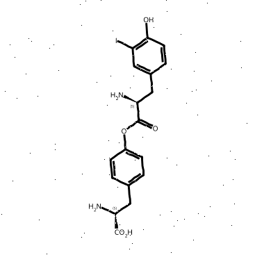 N[C@@H](Cc1ccc(OC(=O)[C@@H](N)Cc2ccc(O)c(I)c2)cc1)C(=O)O